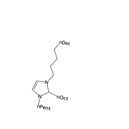 CCCCCCCCCCCCCCN1C=CN(CCCCC)C1CCCCCCCC